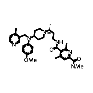 CNC(=O)c1cc(C)c(C(=O)NCC[C@@H](C)N2CCC(N(Cc3cnccc3C)c3ccc(OC)cc3)CC2)c(C)n1